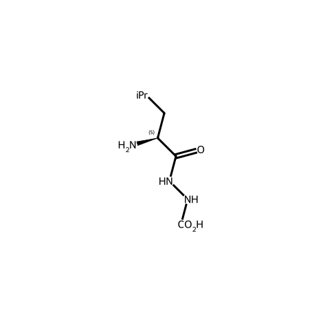 CC(C)C[C@H](N)C(=O)NNC(=O)O